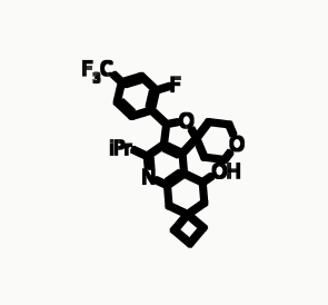 CC(C)c1nc2c(c3c1C(c1ccc(C(F)(F)F)cc1F)OC31CCOCC1)C(O)CC1(CCC1)C2